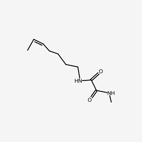 C/C=C\CCCCNC(=O)C(=O)NC